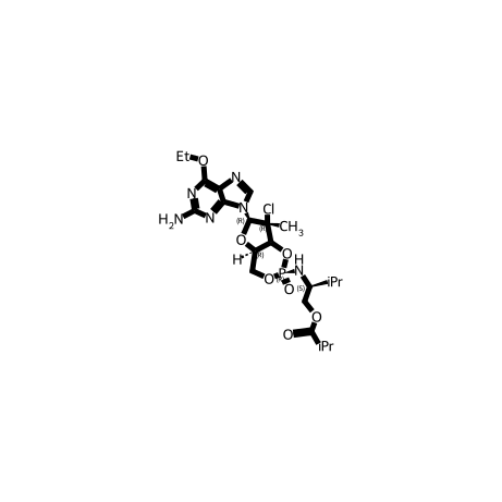 CCOc1nc(N)nc2c1ncn2[C@@H]1O[C@@H]2CO[P@](=O)(N[C@H](COC(=O)C(C)C)C(C)C)OC2[C@@]1(C)Cl